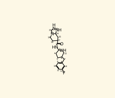 O=C(NC1CCC(Cc2cccc(F)c2)CN1)C1CCN2CNNC2C1